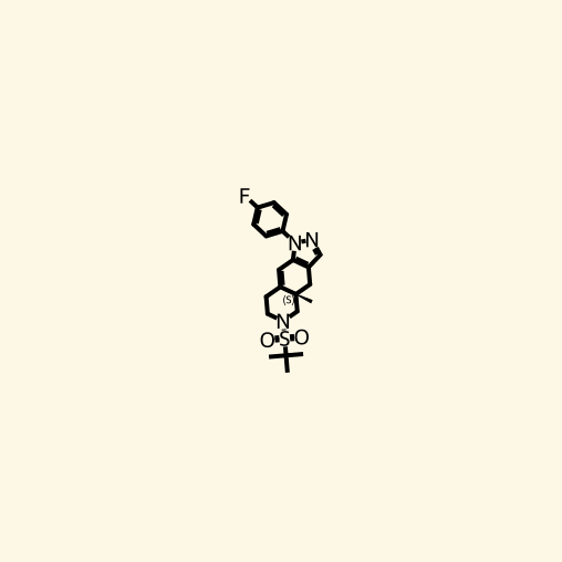 CC(C)(C)S(=O)(=O)N1CCC2=Cc3c(cnn3-c3ccc(F)cc3)C[C@]2(C)C1